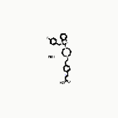 O=C(O)/C=C/c1ccc(CCN2CCCN(c3nc4ccccc4n3Cc3ccc(F)cc3)CCC2)cc1.[NaH]